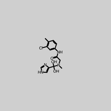 Cc1ccc(NC(=O)CN(C)C(O)(O)c2c[nH]cn2)cc1Cl